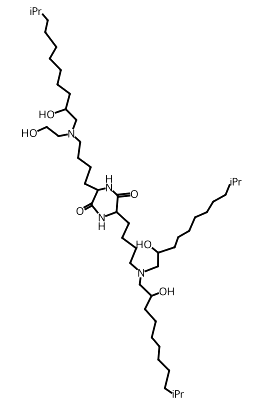 CC(C)CCCCCCCC(O)CN(CCO)CCCCC1NC(=O)C(CCCCN(CC(O)CCCCCCCC(C)C)CC(O)CCCCCCCC(C)C)NC1=O